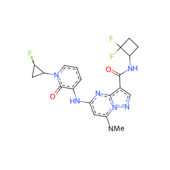 CNc1cc(Nc2cccn(C3C[C@H]3F)c2=O)nc2c(C(=O)NC3CCC3(F)F)cnn12